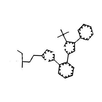 C[C@](N)(CO)CCc1cnc(-c2ccccc2-c2cc(-c3ccccc3)c(C(F)(F)F)s2)o1